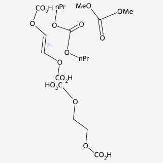 CCCOC(=O)OCCC.COC(=O)OC.O=C(O)O/C=C/OC(=O)O.O=C(O)OCCOC(=O)O